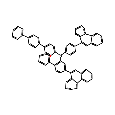 c1ccc(-c2ccc(-c3ccc(N(c4ccc(-c5cc6ccccc6c6ccccc56)cc4)c4cc(-c5cc6ccccc6c6ccccc56)ccc4-c4ccccc4)cc3)cc2)cc1